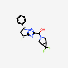 OC(c1nc2n(n1)[C@@H](c1ccccc1)C[C@H]2F)N1CC2C(C1)C2(F)F